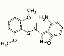 COc1cccc(OC)c1SNc1noc2cccc(N)c12